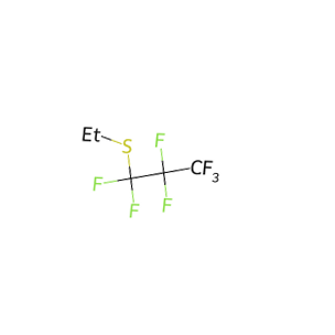 [CH2]CSC(F)(F)C(F)(F)C(F)(F)F